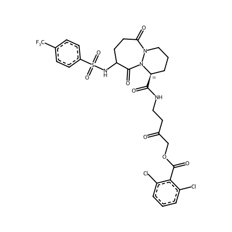 O=C(CCNC(=O)[C@@H]1CCCN2C(=O)CCC(NS(=O)(=O)c3ccc(C(F)(F)F)cc3)C(=O)N12)COC(=O)c1c(Cl)cccc1Cl